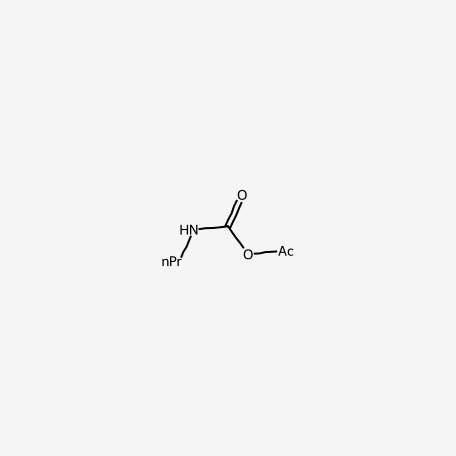 [CH2]CCNC(=O)OC(C)=O